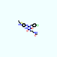 CCC1Nc2ccc(/N=c3\[nH]c(=O)n(CCCNC(C)=O)c(=O)n3Cc3ccc(Cl)cc3)cc2S1